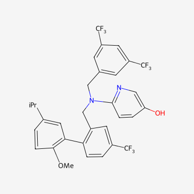 COc1ccc(C(C)C)cc1-c1ccc(C(F)(F)F)cc1CN(Cc1cc(C(F)(F)F)cc(C(F)(F)F)c1)c1ccc(O)cn1